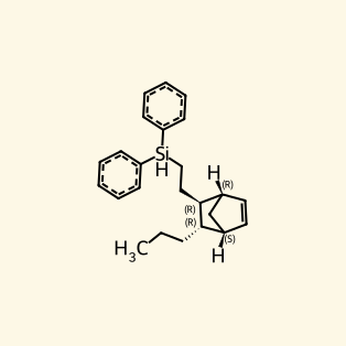 CCC[C@@H]1[C@@H](CC[SiH](c2ccccc2)c2ccccc2)[C@@H]2C=C[C@H]1C2